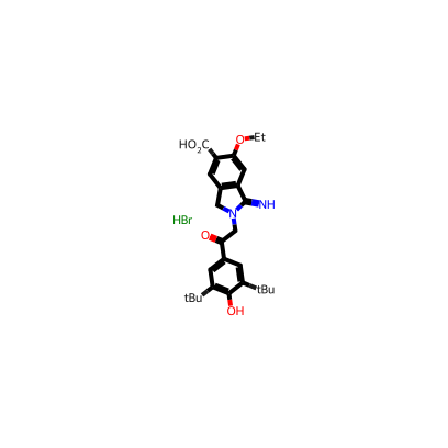 Br.CCOc1cc2c(cc1C(=O)O)CN(CC(=O)c1cc(C(C)(C)C)c(O)c(C(C)(C)C)c1)C2=N